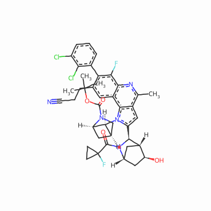 Cc1nc2c(F)c(-c3cccc(Cl)c3Cl)c(CCC#N)cc2c2c1cc([C@H]1[C@H]3C[C@H](C[C@@H]3O)N1C(=O)C1(F)CC1)n2[C@H]1[C@@H]2C[C@H]1N(C(=O)OC(C)(C)C)C2